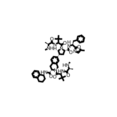 CN[C@@H](C)C(=O)NC(C(=O)N1C[C@@H](c2ccc3c(c2)CN(C(=O)[C@@H](NC(=O)[C@H](C)NC)C(C)(C)C)[C@H](C(=O)N[C@@H]2CCCc4ccccc42)C3)C[C@H]1C(=O)N[C@@H](Cc1ccccc1)c1ncc(C)o1)C(C)(C)C